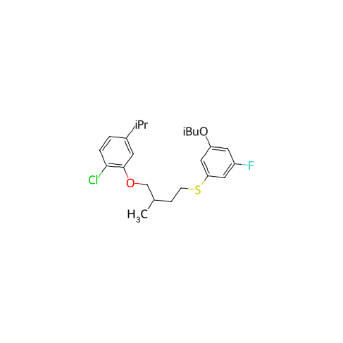 CC(C)COc1cc(F)cc(SCCC(C)COc2cc(C(C)C)ccc2Cl)c1